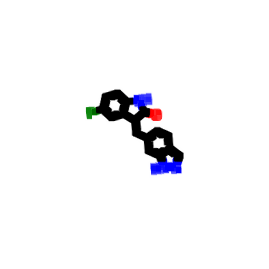 O=C1Nc2ccc(F)cc2C1=Cc1ccc2cn[nH]c2c1